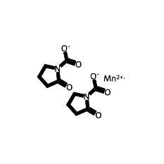 O=C([O-])N1CCCC1=O.O=C([O-])N1CCCC1=O.[Mn+2]